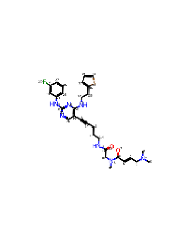 CN(C)C/C=C/C(=O)N(C)CC(=O)NCCCC#Cc1cnc(Nc2cccc(F)c2)nc1NCCc1cccs1